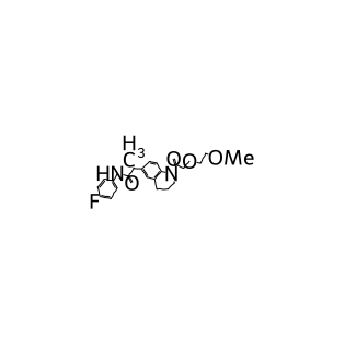 COCCOCC(=O)N1CCCc2cc([C@H](C)C(=O)Nc3ccc(F)cc3)ccc21